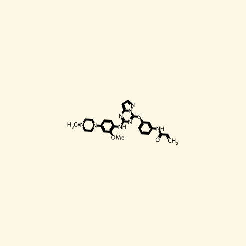 C=CC(=O)Nc1cccc(Sc2nc(Nc3ccc(N4CCN(C)CC4)cc3OC)nc3ccnn23)c1